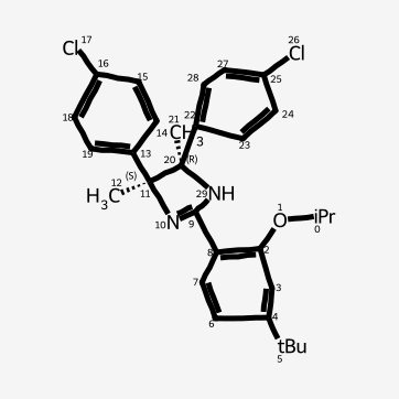 CC(C)Oc1cc(C(C)(C)C)ccc1C1=N[C@@](C)(c2ccc(Cl)cc2)[C@@](C)(c2ccc(Cl)cc2)N1